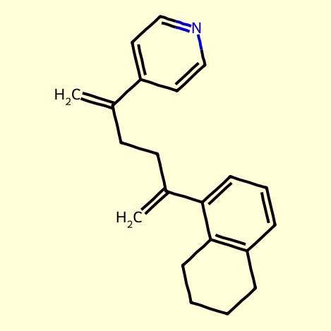 C=C(CCC(=C)c1cccc2c1CCCC2)c1ccncc1